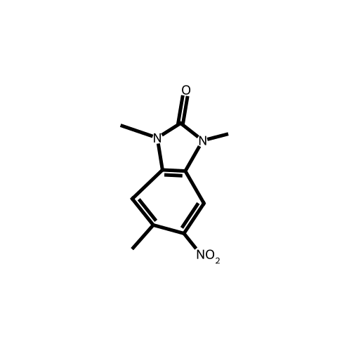 Cc1cc2c(cc1[N+](=O)[O-])n(C)c(=O)n2C